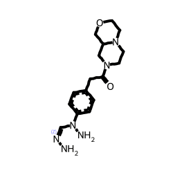 N/N=C\N(N)c1ccc(CC(=O)N2CCN3CCOCC3C2)cc1